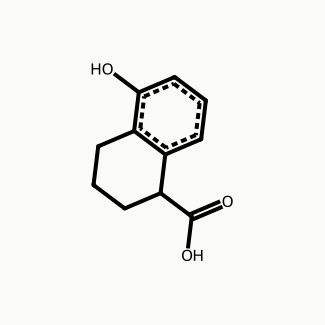 O=C(O)C1CCCc2c(O)cccc21